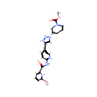 CC(C)(C)OC(=O)N1CCC[C@H](n2cc(-c3ccc(NC(=O)c4cccc(Br)n4)nc3)nn2)C1